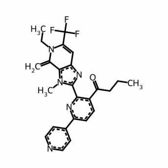 C=C1c2c(nc(-c3nc(-c4ccncc4)ccc3C(=O)CCC)n2C)C=C(C(F)(F)F)N1CC